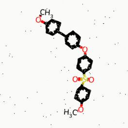 COc1ccc(-c2ccc(Oc3ccc(S(=O)(=O)c4ccc(OC)cc4)cc3)cc2)cc1